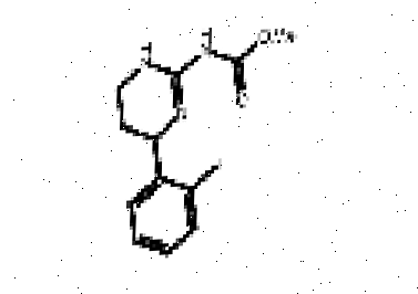 COC(=O)NC1=NC(c2ccccc2I)CCN1